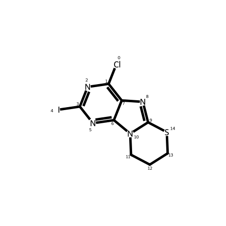 Clc1nc(I)nc2c1nc1n2CCCS1